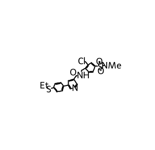 CCSc1ccc(-c2cncc(C(=O)NCc3ccc(S(=O)(=O)NC)cc3Cl)c2)cc1